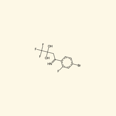 N=C(CC(O)(O)C(F)(F)F)c1ccc(Br)cc1F